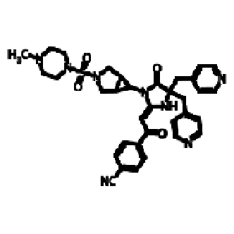 CN1CCN(S(=O)(=O)N2CC3C(C2)C3N2C(=O)C(Cc3ccncc3)(Cc3ccncc3)NC2=CC(=O)c2ccc(C#N)cc2)CC1